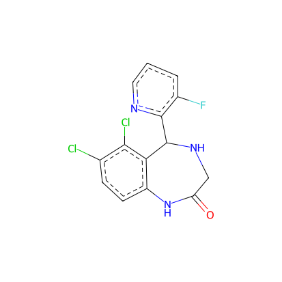 O=C1CNC(c2ncccc2F)c2c(ccc(Cl)c2Cl)N1